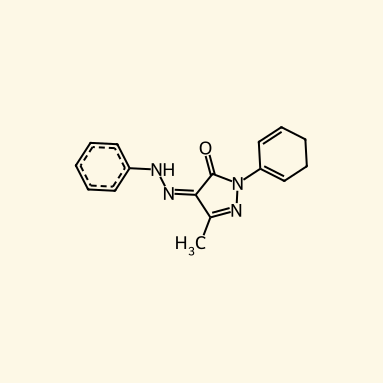 CC1=NN(C2=CCCC=C2)C(=O)/C1=N\Nc1ccccc1